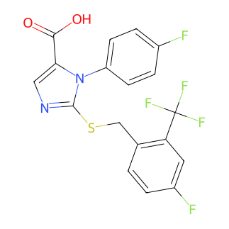 O=C(O)c1cnc(SCc2ccc(F)cc2C(F)(F)F)n1-c1ccc(F)cc1